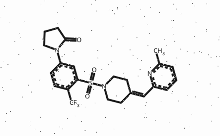 Cc1cccc(C=C2CCN(S(=O)(=O)c3cc(N4CCCC4=O)ccc3C(F)(F)F)CC2)n1